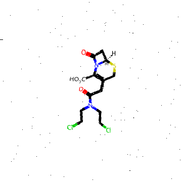 O=C(O)C1=C(CC(=O)N(CCCl)CCCl)CS[C@@H]2CC(=O)N12